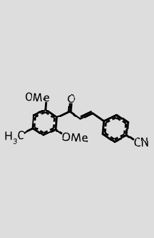 COc1cc(C)cc(OC)c1C(=O)/C=C/c1ccc(C#N)cc1